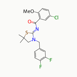 COc1ccc(Cl)cc1C(=O)/N=C1\SC(C)(C)CN1Cc1ccc(F)c(F)c1